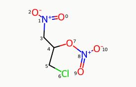 O=[N+]([O-])CC(CCl)O[N+](=O)[O-]